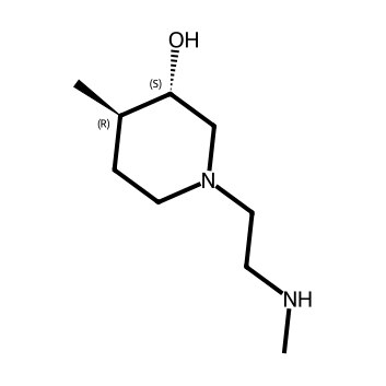 CNCCN1CC[C@@H](C)[C@H](O)C1